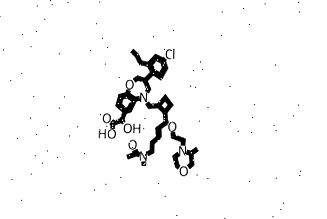 CCCc1cc(Cl)ccc1C1COc2ccc(C(O)C(=O)O)cc2N(CC2CCC2C(/C=C/CCN(C)C(C)=O)OCCN2CCOCC2C)C1